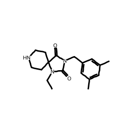 CCN1C(=O)N(Cc2cc(C)cc(C)c2)C(=O)C12CCNCC2